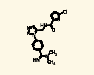 CN(C)C(=N)c1ccc(-n2nncc2CNC(=O)c2ccc(Cl)s2)cc1